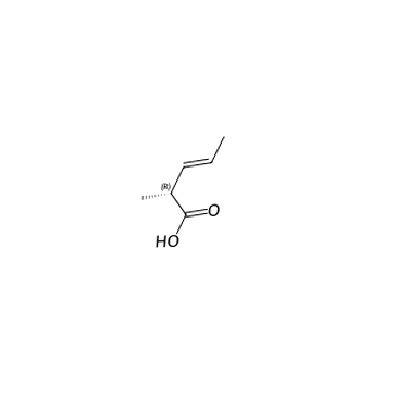 CC=C[C@@H](C)C(=O)O